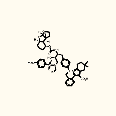 COc1ccc(S(=O)(=O)N(CC(C)C)C[C@@H](O)[C@H](Cc2ccc(OCc3ccccc3-c3sc4c(c3C(=O)O)CC(C)(C)CC4)cc2)NC(=O)O[C@H]2CCC[C@H]3O[C@@H]4OCC[C@@H]4[C@@H]23)cc1